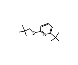 CC(C)(C)CSc1cccc(C(C)(C)C)n1